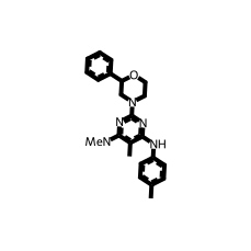 CNc1nc(N2CCOC(c3ccccc3)C2)nc(Nc2ccc(C)cc2)c1C